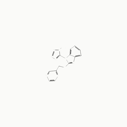 Cn1nnnc1-n1c(OCc2cnccn2)nc2ccccc21